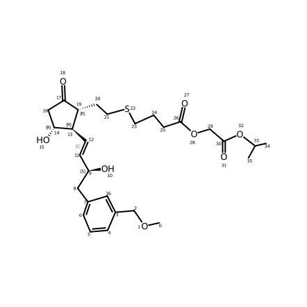 COCc1cccc(C[C@H](O)/C=C/[C@H]2[C@H](O)CC(=O)[C@@H]2CCSCCCC(=O)OCC(=O)OC(C)C)c1